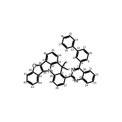 CC1(C)c2c(-c3nc(-c4cccc(-c5ccccc5)c4)c4ccccc4n3)cccc2-n2c3c1cccc3c1oc3ccccc3c12